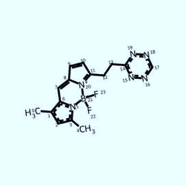 Cc1cc(C)n2c1C=C1C=CC(CCc3nncnn3)=[N+]1[B-]2(F)F